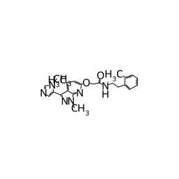 Cc1ccccc1CCNC(=O)COc1cc(C)c2c(-c3cncn3C)nn(C)c2n1